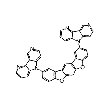 c1cnc2c3cnccc3n(-c3ccc4oc5cc6oc7ccc(-n8c9ccncc9c9ncccc98)cc7c6cc5c4c3)c2c1